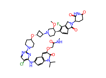 CNC(=O)COc1cc2cc(Nc3nc(N4CCC(O[C@H]5C[C@H](N6CC[C@H](c7ccc8c(c7F)CN(C7CCC(=O)NC7=O)C8=O)[C@H](OC)C6)C5)CC4)ncc3Cl)ccc2n(C(C)C)c1=O